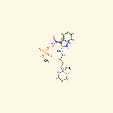 COS(=O)(=O)[O-].C[N+]1(CCCCNc2nn3ccccc3c2[N+](=O)[O-])CCCCC1